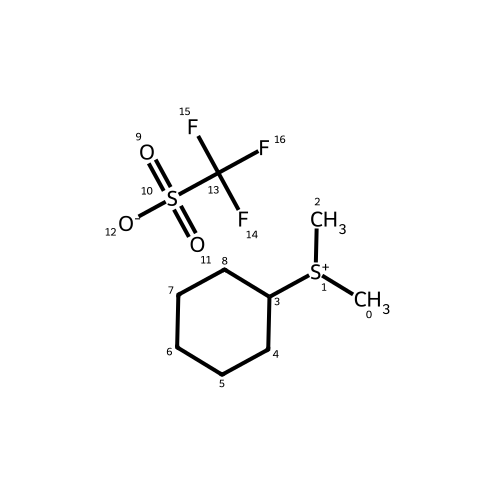 C[S+](C)C1CCCCC1.O=S(=O)([O-])C(F)(F)F